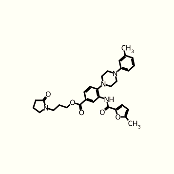 Cc1cccc(N2CCN(c3ccc(C(=O)OCCCN4CCCC4=O)cc3NC(=O)c3ccc(C)o3)CC2)c1